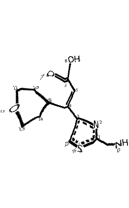 Nc1nc(/C(=C/C(=O)O)C2CCOCC2)cs1